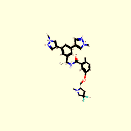 Cc1ccc(OC[C@@H]2CC(F)(F)CN2C)cc1C(=O)N[C@H](C)c1cc(-c2cnn(C)c2)cc(-c2cnn(C)c2)c1